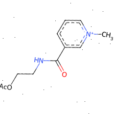 CC(=O)OCCNC(=O)c1ccc[n+](C)c1